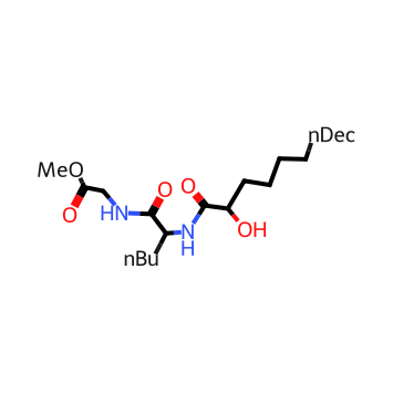 CCCCCCCCCCCCCCC(O)C(=O)NC(CCCC)C(=O)NCC(=O)OC